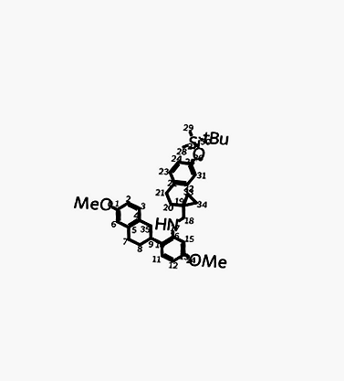 COc1ccc2c(c1)CCC(c1ccc(OC)cc1NCC1(CCc3ccc(O[Si](C)(C)C(C)(C)C)cc3)CC1)C2